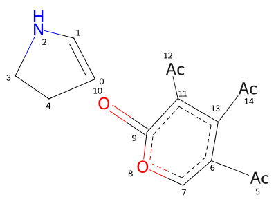 C1=CNCC1.CC(=O)c1coc(=O)c(C(C)=O)c1C(C)=O